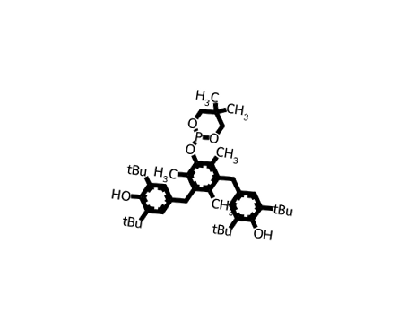 Cc1c(Cc2cc(C(C)(C)C)c(O)c(C(C)(C)C)c2)c(C)c(OP2OCC(C)(C)CO2)c(C)c1Cc1cc(C(C)(C)C)c(O)c(C(C)(C)C)c1